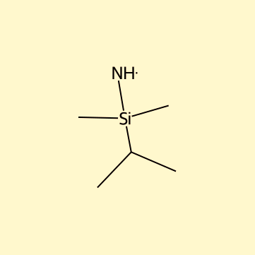 CC(C)[Si](C)(C)[NH]